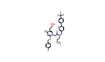 CCCN(Cc1ccc(-c2ccc(C(F)(F)F)cc2)nc1)C(=O)Cn1cc(CCO)c(=O)nc1SCc1ccc(F)cc1